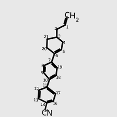 C=CCC1CC=C(c2ccc(-c3ccc(C#N)cc3)cc2)CC1